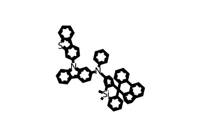 C[Si]1(C)c2ccccc2C2(c3ccccc3-c3cccc4cccc2c34)c2ccc(N(c3ccccc3)c3ccc4c5ccccc5n(-c5ccc6c(c5)sc5ccccc56)c4c3)cc21